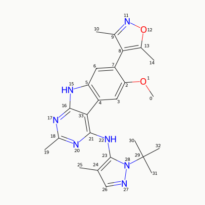 COc1cc2c(cc1-c1c(C)noc1C)[nH]c1nc(C)nc(Nc3c(C)cnn3C(C)(C)C)c12